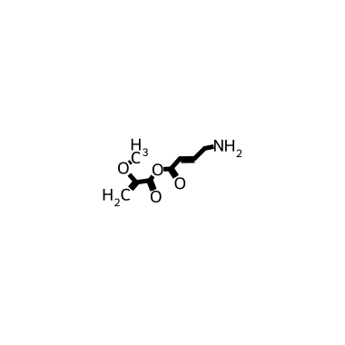 C=C(OC)C(=O)OC(=O)C=CCN